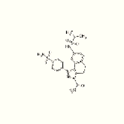 CC(C)S(=O)(=O)Nc1ccc2c(c1)-c1c(c(C(N)=O)nn1-c1ccc(S(N)(=O)=O)cc1)CC2